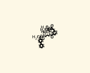 C=C(OC(=O)NCCCNC(=O)c1ccnc(/C=C2/C(=O)N3C2SC(C)(C)[C@@H]3C)c1)c1ccc(-c2ccccc2)cc1